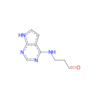 O=CCCNc1ncnc2[nH]ccc12